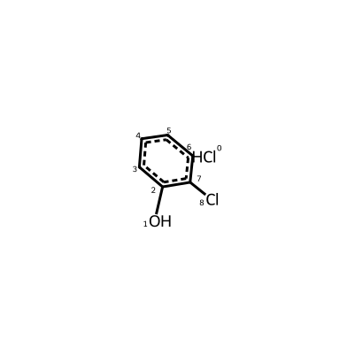 Cl.Oc1ccccc1Cl